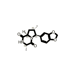 C[C@@H]1NC(=O)[C@H]2C[C@H](C)[C@@H](c3ccc4c(c3)OCO4)N2C1=O